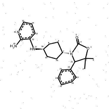 CC1(C)OC(=O)N([C@H]2CC[C@H](Nc3cccnc3N)CC2)C1c1ccccc1